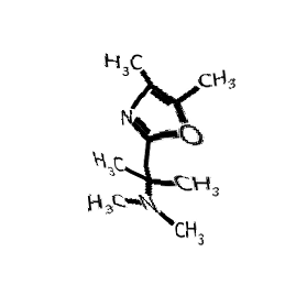 Cc1nc(C(C)(C)N(C)C)oc1C